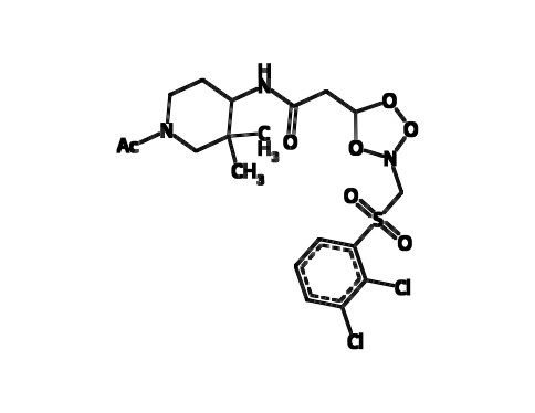 CC(=O)N1CCC(NC(=O)CC2OON(CS(=O)(=O)c3cccc(Cl)c3Cl)O2)C(C)(C)C1